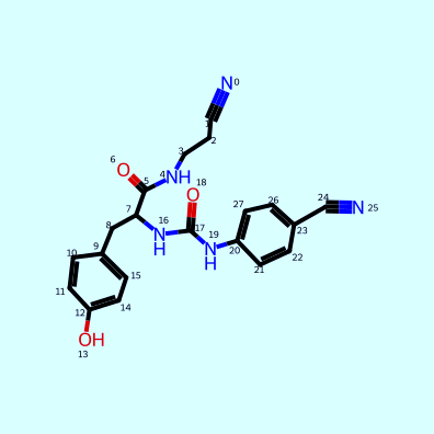 N#CCCNC(=O)C(Cc1ccc(O)cc1)NC(=O)Nc1ccc(C#N)cc1